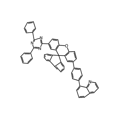 c1ccc(-c2nc(-c3ccccc3)nc(-c3ccc4c(c3)C3(c5cc(-c6ccc(-c7cccc8cccnc78)cc6)ccc5O4)c4ccccc4-c4ccccc43)n2)cc1